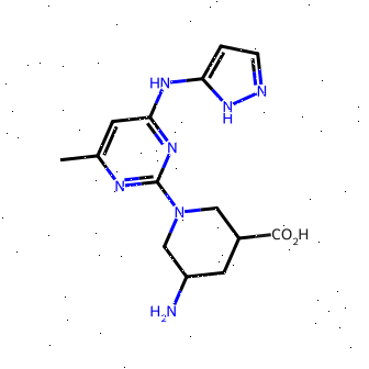 Cc1cc(Nc2ccn[nH]2)nc(N2CC(N)CC(C(=O)O)C2)n1